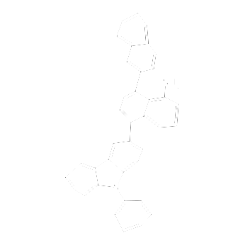 Nc1cccc2c(-c3ccc4c(c3)c3ccccc3n4-c3ccccc3)ccc(-c3ccc4ccccc4c3)c12